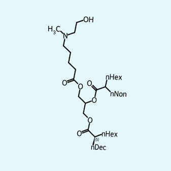 CCCCCCCCCC[C@H](CCCCCC)C(=O)OCC(COC(=O)CCCCN(C)CCO)OC(=O)C(CCCCCC)CCCCCCCCC